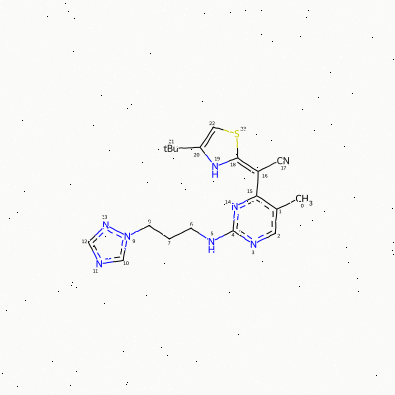 Cc1cnc(NCCCn2cncn2)nc1/C(C#N)=C1\NC(C(C)(C)C)=CS1